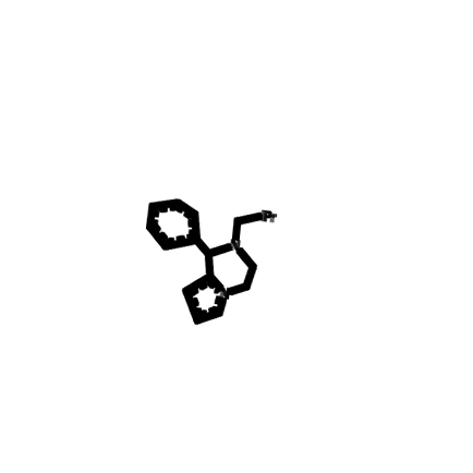 CC(C)CN1CCn2cccc2C1c1ccccc1